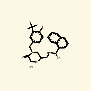 C[C@@H](NCC1CN(Cc2ccc(F)c(C(F)(F)F)c2)C(=O)CO1)c1cccc2ccccc12.Cl